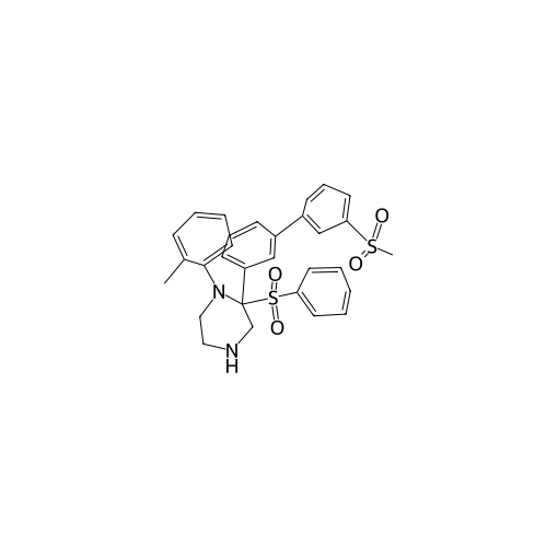 Cc1ccccc1N1CCNCC1(c1cccc(-c2cccc(S(C)(=O)=O)c2)c1)S(=O)(=O)c1ccccc1